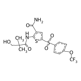 CC(C)(CO)C(=O)Nc1sc(S(=O)(=O)c2ccc(OC(F)(F)F)cc2)cc1C(N)=O